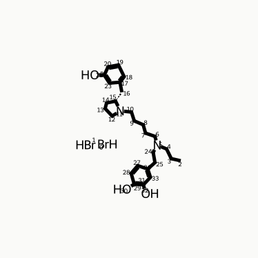 Br.Br.CCCN(CCCCCN1CCC[C@@H]1Cc1cccc(O)c1)CCc1ccc(O)c(O)c1